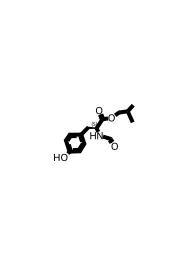 CC(C)COC(=O)[C@H](Cc1ccc(O)cc1)NC=O